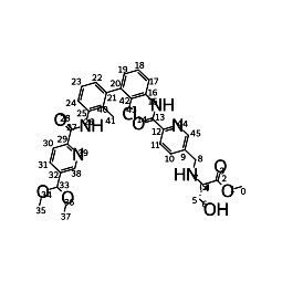 COC(=O)[C@H](CO)NCc1ccc(C(=O)Nc2cccc(-c3cccc(NC(=O)c4ccc(C(OC)OC)cn4)c3C)c2Cl)nc1